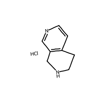 Cl.c1cc2c(cn1)CNCC2